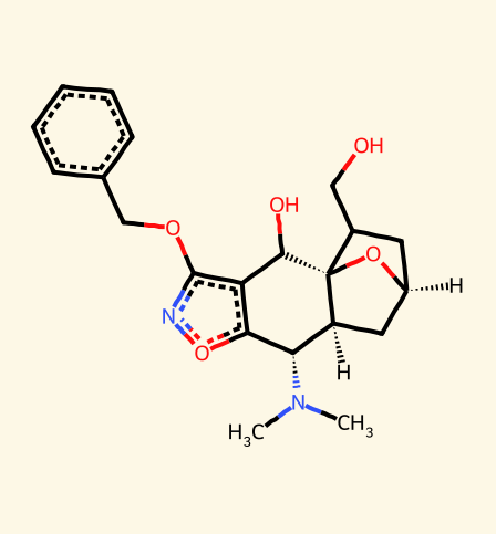 CN(C)[C@@H]1c2onc(OCc3ccccc3)c2C(O)[C@@]23O[C@@H](CC2CO)C[C@@H]13